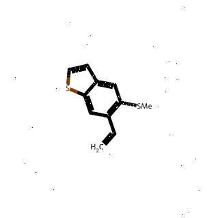 C=Cc1cc2sccc2cc1SC